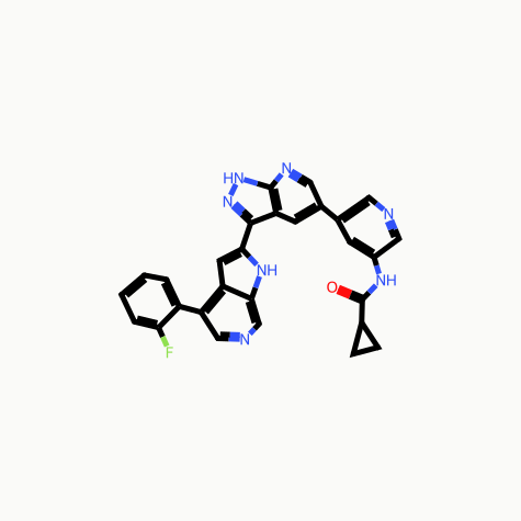 O=C(Nc1cncc(-c2cnc3[nH]nc(-c4cc5c(-c6ccccc6F)cncc5[nH]4)c3c2)c1)C1CC1